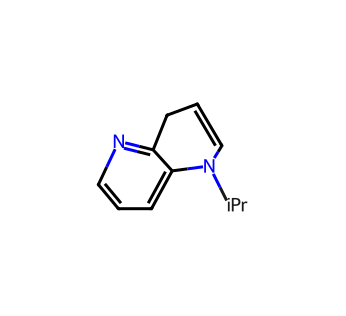 CC(C)N1C=CCc2ncccc21